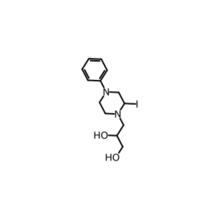 OCC(O)CN1CCN(c2ccccc2)CC1I